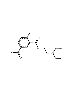 CCN(CC)CCNC(=O)c1cc([N+](=O)[O-])ccc1I